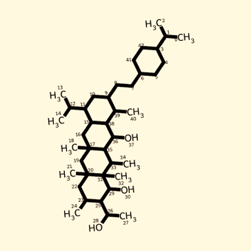 CC(C)C1CCC(CCC2CC(C(C)C)C3CC4(C)CC5(C)CC(C)C(C(C)O)C(O)C5(C)C(C)C4C(O)C3C2C)CC1